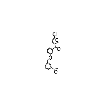 O=C(c1ccc(Cl)cc1)c1cccc(OCc2cccc(C3CO3)c2)c1